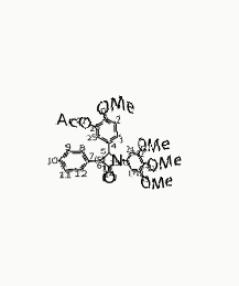 COc1ccc(C2[C@H](c3ccccc3)C(=O)N2c2cc(OC)c(OC)c(OC)c2)cc1OC(C)=O